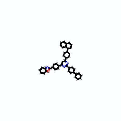 C1=C(c2cccc3ccccc23)CCC(c2cc(-c3ccc(-c4nc5ccccc5o4)cc3)nc(-c3ccc(-c4ccccc4)cc3)n2)C1